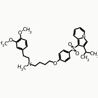 COc1ccc(CCN(C)CCCCOc2ccc(S(=O)(=O)c3c(C(C)C)cn4ccccc34)cc2)cc1OC